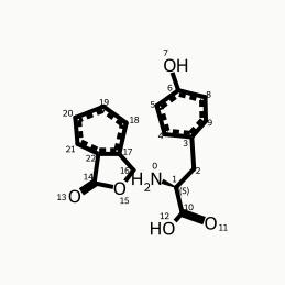 N[C@@H](Cc1ccc(O)cc1)C(=O)O.O=C1OCc2ccccc21